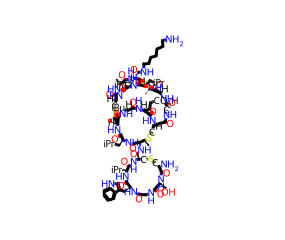 CCC(C)[C@@H]1NC(=O)[C@@H]2NC(=O)[C@H](CC(C)C)NC(=O)[C@H](NC(=O)[C@H]3CSC[C@H](N)C(=O)N[C@@H](CO)C(=O)NCC(=O)N[C@@H](Cc4c[nH]c5ccccc45)C(=O)N[C@@H](C(C)C)C(=O)N3)[C@H](C)SC[C@H](NC(=O)[C@H](CCC(=O)O)NC1=O)C(=O)NCC(=O)N[C@@H]1C(=O)N[C@@H](CC(C)C)C(=O)N[C@@H](C(C)C)C(=O)N[C@@H](CS[C@H]2C)C(=O)N[C@@H](C)C(=O)N[C@H](C(=O)NCCCCCCCN)CS[C@H]1C